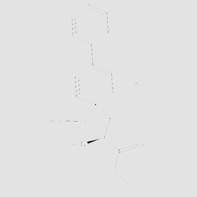 COC(=O)[C@@H](N)CC1(OC)C=CC(c2ccccc2)=CC1.Cl